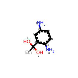 CCC(O)(O)c1cc(N)ccc1N